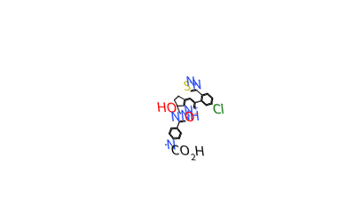 CN(C(=O)O)c1ccc(-c2c[nH]c(C3(O)CCc4cc(-c5cc(Cl)ccc5-c5csnn5)c[n+]([O-])c43)n2)cc1